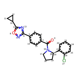 O=C(c1ccc(-c2noc(C3CC3)n2)cc1)N1CCC[C@@H]1c1ccccc1Cl